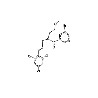 COCCN(CCOc1c(Cl)cc(Cl)cc1Cl)C(=O)c1cncc(Br)c1